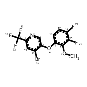 COc1c(Oc2cnc(C(F)(F)F)cc2Br)ccc(F)c1F